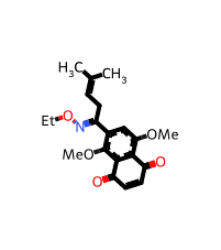 CCON=C(CC=C(C)C)c1cc(OC)c2c(c1OC)C(=O)C=CC2=O